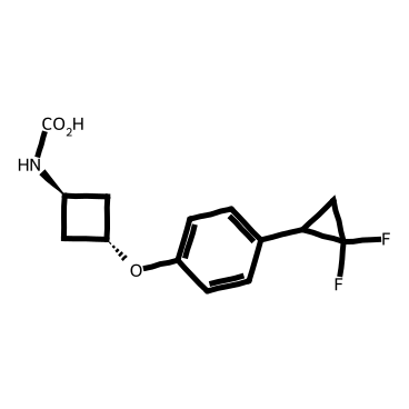 O=C(O)N[C@H]1C[C@H](Oc2ccc(C3CC3(F)F)cc2)C1